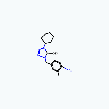 Cc1cc(CN2N=NN(C3CCCCC3)C2C=O)ccc1N